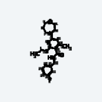 CCSc1nc(N2CCCOCC2)cc(C)c1C(=O)NCc1cccc(F)c1